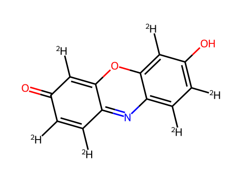 [2H]c1c2nc3c([2H])c([2H])c(O)c([2H])c3oc-2c([2H])c(=O)c1[2H]